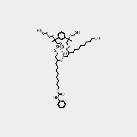 CC(CSSC(CCCCCCCCO)CSSC(CCCCCCCCOC(=O)Nc1ccccc1)CSSS)(SSS)c1cccc(C(C)(CSSSS)SSSSS)c1